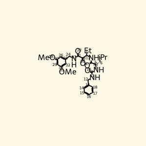 CCC(NC(=O)[C@H](CC(C)C)NC(=O)NCc1ccccc1)C(=O)C(=O)NCc1cc(OC)cc(OC)c1